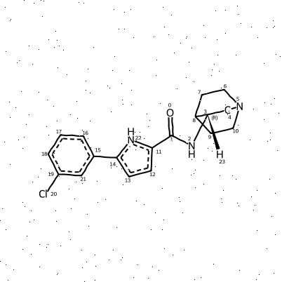 O=C(N[C@H]1CN2CCC1CC2)c1ccc(-c2cccc(Cl)c2)[nH]1